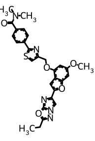 CCc1nn2cc(-c3cc4c(OCc5csc(-c6ccc(C(=O)N(C)C)cc6)n5)cc(OC)cc4o3)nc2o1